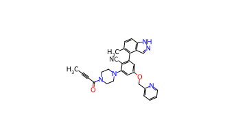 CC#CC(=O)N1CCN(c2cc(OCc3ccccn3)cc(-c3c(C)ccc4[nH]ncc34)c2C#N)CC1